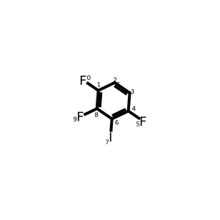 Fc1[c]cc(F)c(I)c1F